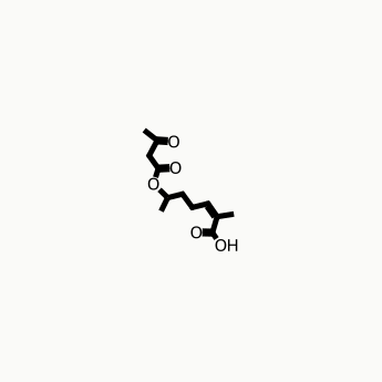 CC(=O)CC(=O)OC(C)CCC=C(C)C(=O)O